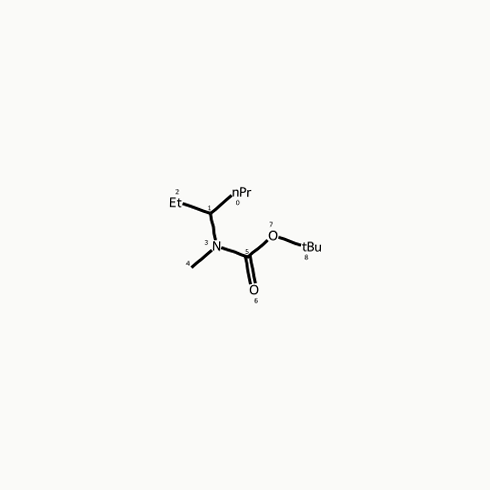 CCCC(CC)N(C)C(=O)OC(C)(C)C